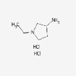 CCN1CCC(N)C1.Cl.Cl